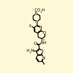 Cc1ccc2c(N)c(C(=O)N[C@@H]3COc4nc(N5CCN(C(=O)O)CC5)c(F)cc4C3)sc2n1